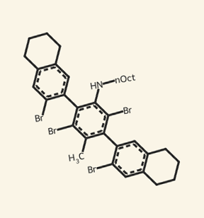 CCCCCCCCNc1c(Br)c(-c2cc3c(cc2Br)CCCC3)c(C)c(Br)c1-c1cc2c(cc1Br)CCCC2